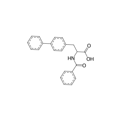 O=C(NC(Cc1ccc(-c2ccccc2)cc1)C(=O)O)c1ccccc1